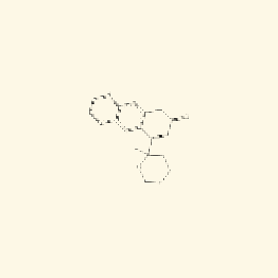 CC1(C2=CC(=O)Cc3cc4ncccc4cc32)CCOCO1